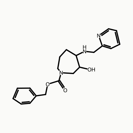 O=C(OCc1ccccc1)N1CCCC(NCc2ccccn2)C(O)C1